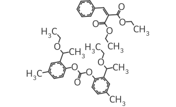 CCOC(=O)C(=Cc1ccccc1)C(=O)OCC.CCOC(C)c1cc(C)ccc1OC(=O)Oc1ccc(C)cc1C(C)OCC